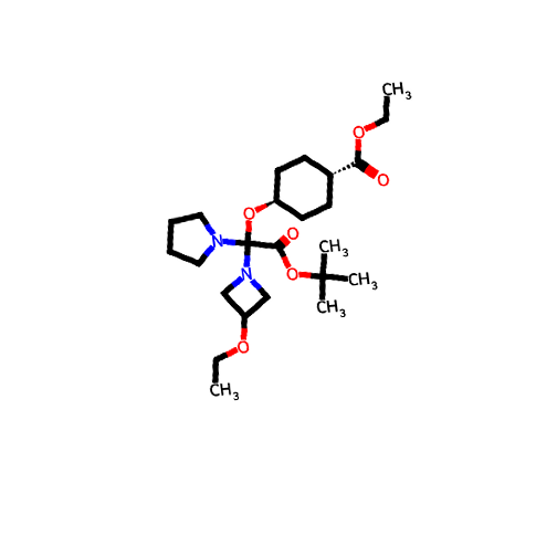 CCOC(=O)[C@H]1CC[C@H](OC(C(=O)OC(C)(C)C)(N2CCCC2)N2CC(OCC)C2)CC1